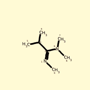 CN=C(C(C)C)N(C)C